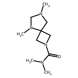 CN1CN(C)C2(C1)CN(C(=O)N(C)C)C2